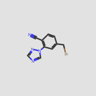 N#Cc1ccc(CBr)cc1-n1cncn1